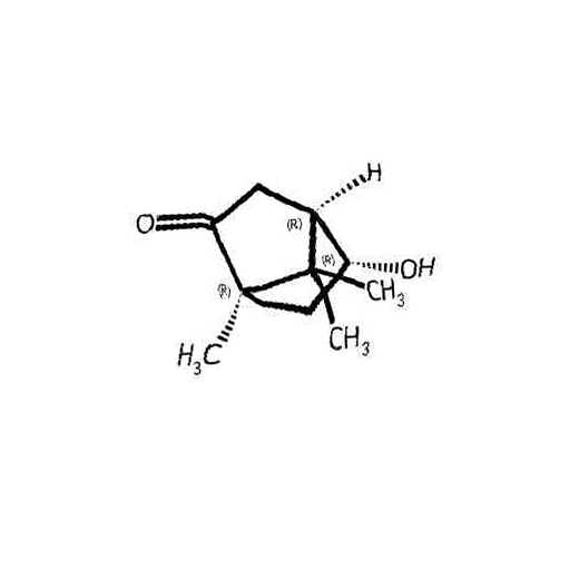 CC1(C)[C@H]2CC(=O)[C@]1(C)C[C@H]2O